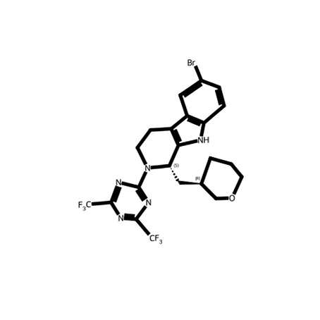 FC(F)(F)c1nc(N2CCc3c([nH]c4ccc(Br)cc34)[C@@H]2C[C@H]2CCCOC2)nc(C(F)(F)F)n1